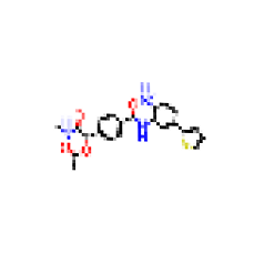 CNC(=O)C(OC(C)=O)c1ccc(C(=O)Nc2cc(-c3cccs3)ccc2N)cc1